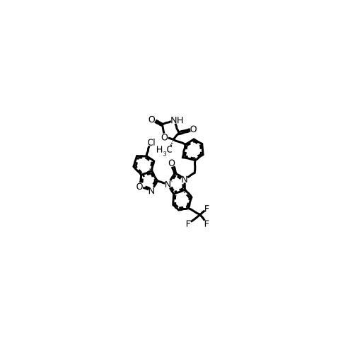 C[C@]1(c2cccc(Cn3c(=O)n(-c4noc5ccc(Cl)cc45)c4ccc(C(F)(F)F)cc43)c2)OC(=O)NC1=O